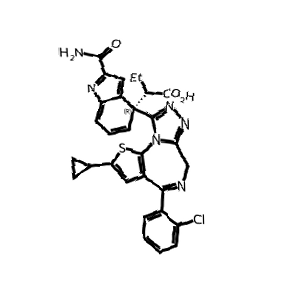 CCC(C(=O)O)[C@]1(c2nnc3n2-c2sc(C4CC4)cc2C(c2ccccc2Cl)=NC3)C=CC=C2N=C(C(N)=O)C=C21